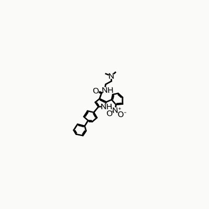 CN(C)CCNC(=O)c1cc(-c2ccc(-c3ccccc3)cc2)[nH]c1-c1ccccc1[N+](=O)[O-]